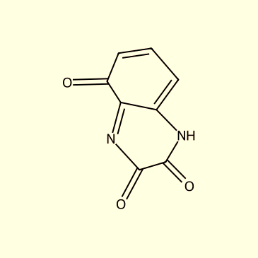 O=C1C=CC=C2NC(=O)C(=O)N=C12